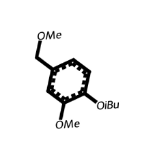 COCc1ccc(OCC(C)C)c(OC)c1